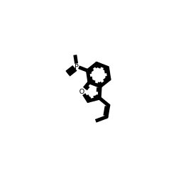 C#P(C)c1cccc2c(/C=C\C)coc12